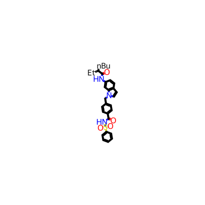 CCCCC(CC)C(=O)Nc1ccc2ccn(Cc3ccc(C(=O)NS(=O)(=O)c4ccccc4)cc3)c2c1